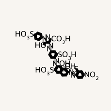 O=C(O)c1nn(-c2ccc(S(=O)(=O)O)cc2)c(O)c1N=Nc1ccc(N=Nc2c(S(=O)(=O)O)cc3ccc(N=Nc4ccc([N+](=O)[O-])cc4S(=O)(=O)O)c(O)c3c2O)c(S(=O)(=O)O)c1